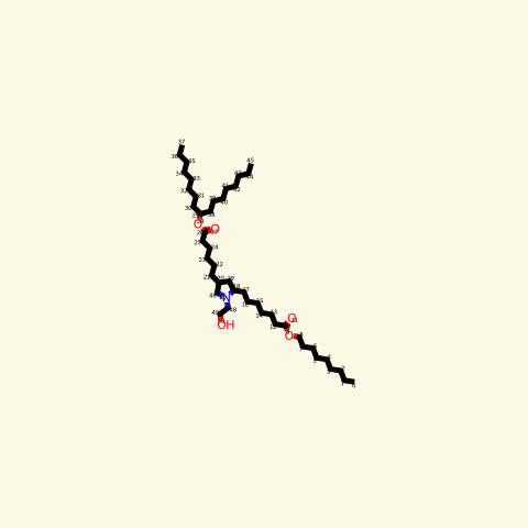 CCCCCCCCCOC(=O)CCCCCCC1CC(CCCCCC(=O)OC(CCCCCCCC)CCCCCCCC)CN1CCO